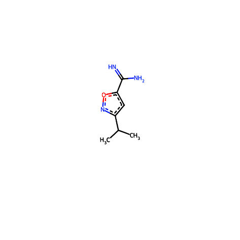 CC(C)c1cc(C(=N)N)on1